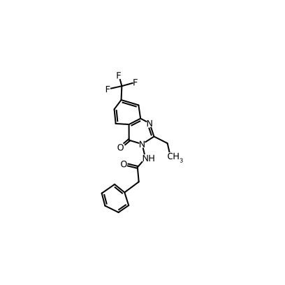 CCc1nc2cc(C(F)(F)F)ccc2c(=O)n1NC(=O)Cc1ccccc1